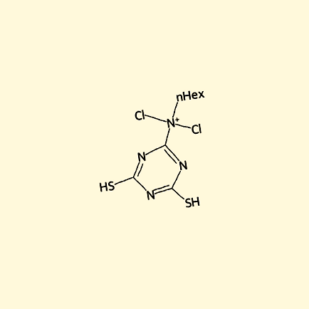 CCCCCC[N+](Cl)(Cl)c1nc(S)nc(S)n1